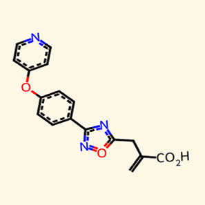 C=C(Cc1nc(-c2ccc(Oc3ccncc3)cc2)no1)C(=O)O